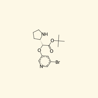 CC(C)(C)OC(=O)C(Oc1cncc(Br)c1)[C@@H]1CCCN1